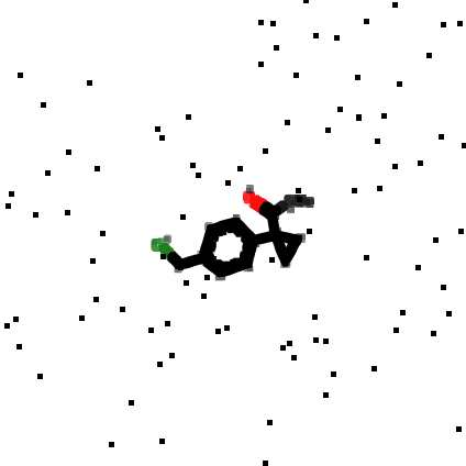 COC(=O)C1(c2ccc(CCl)cc2)CC1